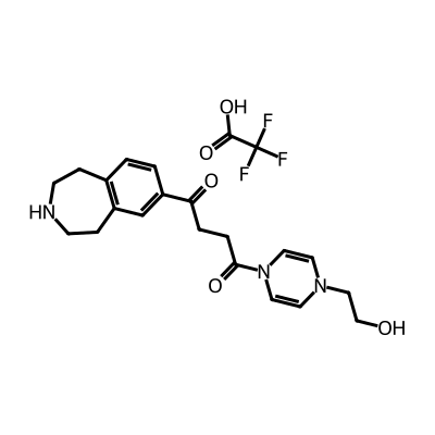 O=C(CCC(=O)N1C=CN(CCO)C=C1)c1ccc2c(c1)CCNCC2.O=C(O)C(F)(F)F